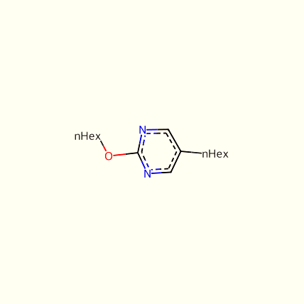 CCCCCCOc1ncc(CCCCCC)cn1